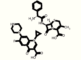 CC1=C(C(=O)O)N2C(=O)[C@@H](NC(=O)[C@H](N)c3ccccc3)[C@H]2SC1.O=C(O)c1cn(C2CC2)c2cc(N3CCNCC3)c(F)cc2c1=O